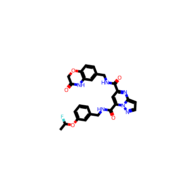 CC(F)Oc1cccc(CNC(=O)c2cc(C(=O)NCc3ccc4c(c3)NC(=O)CO4)nc3ccnn23)c1